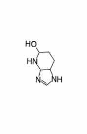 OC1CCC2NC=NC2N1